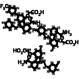 Cc1cc(OCC(=O)O)c2c3c(C(N)=O)cccc3n(Cc3cccc(F)c3)c2c1.Cc1cccc(CCn2c3cc(C)cc(OCC(=O)O)c3c3c(C(N)=O)cccc32)c1.NC(=O)c1cccc2c1c1c(OCC(=O)O)cc(-c3ccc(C(F)(F)F)cc3)cc1n2Cc1ccccc1